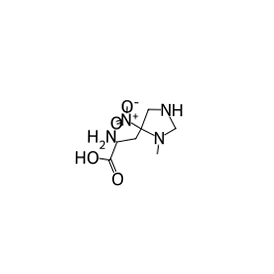 CN1CNCC1(CC(N)C(=O)O)[N+](=O)[O-]